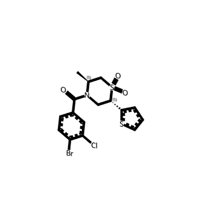 C[C@H]1CS(=O)(=O)[C@H](c2cccs2)CN1C(=O)c1ccc(Br)c(Cl)c1